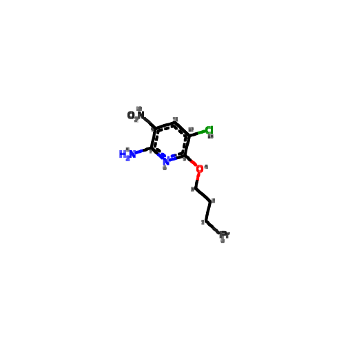 CC(C)CCCOc1nc(N)c([N+](=O)[O-])cc1Cl